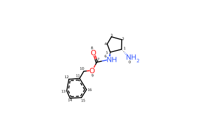 N[C@H]1CCC[C@@H]1NC(=O)OCc1ccccc1